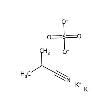 CC(C)C#N.O=S(=O)([O-])[O-].[K+].[K+]